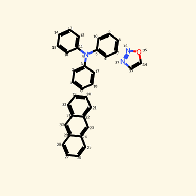 c1ccc(N(c2ccccc2)c2ccccc2)cc1.c1ccc2cc3ccccc3cc2c1.c1conn1